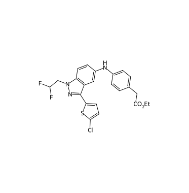 CCOC(=O)Cc1ccc(Nc2ccc3c(c2)c(-c2ccc(Cl)s2)nn3CC(F)F)cc1